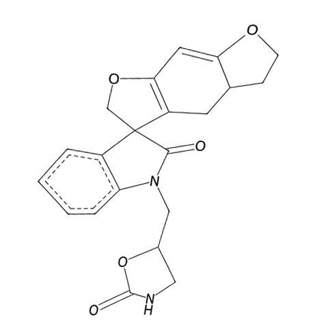 O=C1NCC(CN2C(=O)C3(COC4=C3CC3CCOC3=C4)c3ccccc32)O1